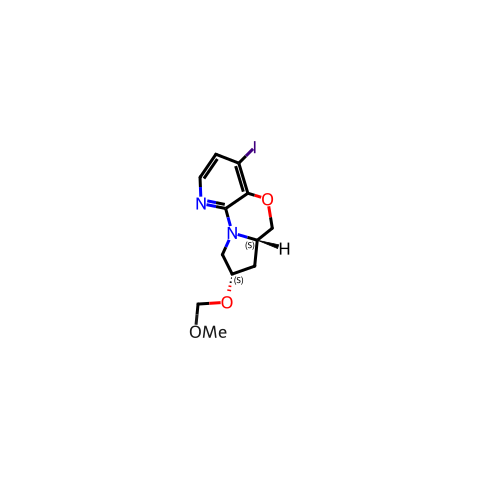 COCO[C@H]1C[C@H]2COc3c(I)ccnc3N2C1